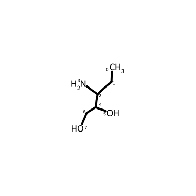 CCC(N)C(O)CO